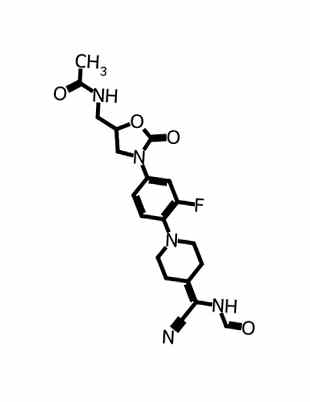 CC(=O)NCC1CN(c2ccc(N3CCC(=C(C#N)NC=O)CC3)c(F)c2)C(=O)O1